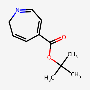 CC(C)(C)OC(=O)C1=CC=NCC=C1